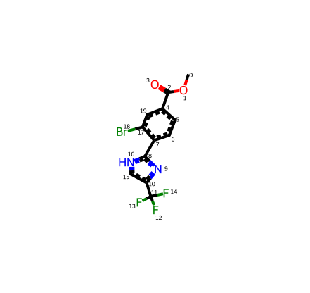 COC(=O)c1ccc(-c2nc(C(F)(F)F)c[nH]2)c(Br)c1